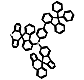 c1ccc(C2(c3ccccc3)c3ccccc3-c3c(-c4ccc(N(c5ccc6c(c5)C5(c7ccccc7Oc7ccccc75)c5ccccc5-6)c5cccc6c5-c5ccccc5C65c6ccccc6Oc6ccccc65)cc4)cccc32)cc1